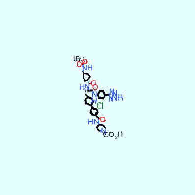 CC(C)(C)OC(=O)NC[C@H]1CC[C@H](C(=O)N[C@@H](Cc2ccc(-c3ccc(C(=O)NC4CCN(C(=O)O)CC4)cc3Cl)cc2)C(=O)Nc2ccc(-c3nn[nH]n3)cc2)CC1